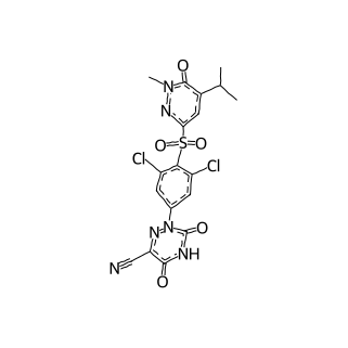 CC(C)c1cc(S(=O)(=O)c2c(Cl)cc(-n3nc(C#N)c(=O)[nH]c3=O)cc2Cl)nn(C)c1=O